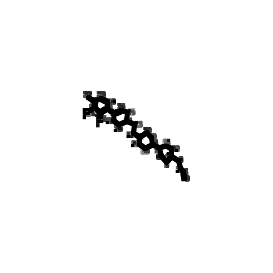 C=CCCC1CCC(C2CCC(CCC3CC=C(c4ccc(C)c(F)c4F)CC3)CC2)CC1